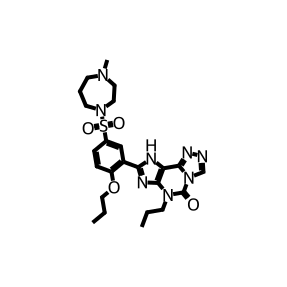 CCCOc1ccc(S(=O)(=O)N2CCCN(C)CC2)cc1-c1nc2c([nH]1)c1nncn1c(=O)n2CCC